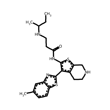 CCC(C)NCCC(=O)Nc1sc2c(c1-c1nc3cc(C)ccc3s1)CCNC2